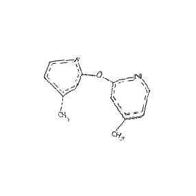 Cc1ccnc(Oc2cc(C)ccn2)c1